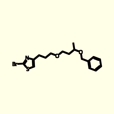 CC(CCOCCCc1csc(Br)n1)OCc1ccccc1